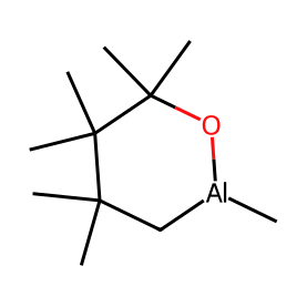 [CH3][Al]1[CH2]C(C)(C)C(C)(C)C(C)(C)[O]1